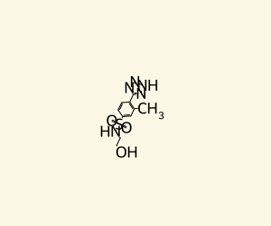 Cc1cc(S(=O)(=O)NCCO)ccc1-c1nn[nH]n1